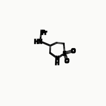 CC(C)NC1CCS(=O)(=O)NC1